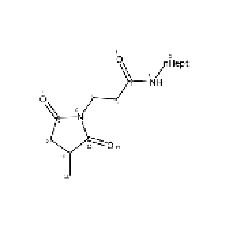 CCCCCCCNC(=O)CCN1C(=O)CC(C)C1=O